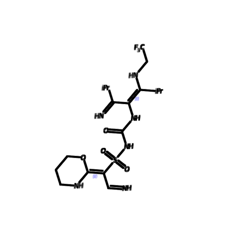 CC(C)C(=N)/C(NC(=O)NS(=O)(=O)/C(C=N)=C1/NCCCO1)=C(\NCC(F)(F)F)C(C)C